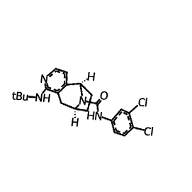 CC(C)(C)Nc1nccc2c1C[C@@H]1CC[C@H]2N1C(=O)Nc1ccc(Cl)c(Cl)c1